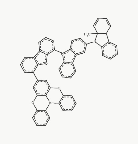 CC12C=CC=CC1c1ccccc1N2c1ccc2c(c1)c1ccccc1n2-c1cccc2c1oc1c(-c3cc4c5c(c3)Oc3ccccc3B5c3ccccc3O4)cccc12